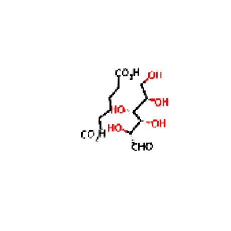 O=C(O)CCCCC(=O)O.O=C[C@H](O)[C@@H](O)[C@H](O)[C@H](O)CO